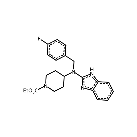 CCOC(=O)N1CCC(N(Cc2ccc(F)cc2)c2nc3ccccc3[nH]2)CC1